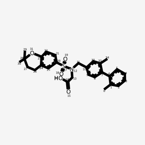 Cc1ccccc1-c1ccc(CN(CC(=O)O)S(=O)(=O)c2ccc3c(c2)CCC(C)(C)O3)cc1C